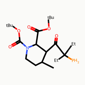 CCC(P)(CC)C(=O)C1C(C)CCN(C(=O)OC(C)(C)C)C1C(=O)OC(C)(C)C